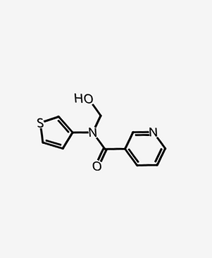 O=C(c1cccnc1)N(CO)c1ccsc1